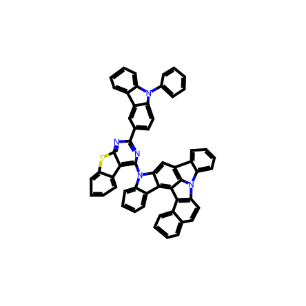 c1ccc(-n2c3ccccc3c3cc(-c4nc(-n5c6ccccc6c6c7c8c9ccccc9ccc8n8c9ccccc9c(cc65)c78)c5c(n4)sc4ccccc45)ccc32)cc1